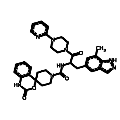 Cc1cc(CC(NC(=O)N2CCC3(CC2)OC(=O)Nc2ccccc23)C(=O)N2CCN(c3ccccn3)CC2)cc2cn[nH]c12